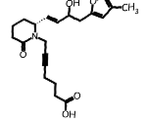 Cc1coc(CC(O)/C=C/[C@H]2CCCC(=O)N2CC#CCCCC(=O)O)c1